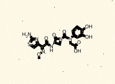 CON=C(C(=O)N[C@H]1CN(C(=O)N(CC(=O)O)c2ccc(O)c(O)c2)C1=O)c1csc(N)n1